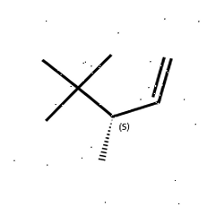 C=C[C@H](C)C(C)(C)C